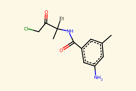 CCC(C)(NC(=O)c1cc(C)cc(N)c1)C(=O)CCl